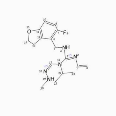 C=C/N=C(/NCc1c(F)ccc2c1CCO2)N(/C=N\NC)C(C)C